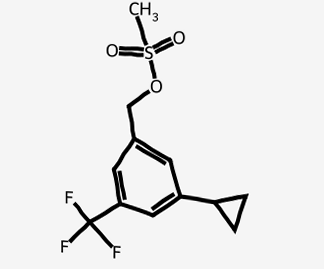 CS(=O)(=O)OCc1cc(C2CC2)cc(C(F)(F)F)c1